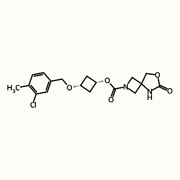 Cc1ccc(CO[C@H]2C[C@@H](OC(=O)N3CC4(COC(=O)N4)C3)C2)cc1Cl